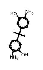 CC(C)(c1ccc(N)c(O)c1)c1ccc(N)c(O)c1